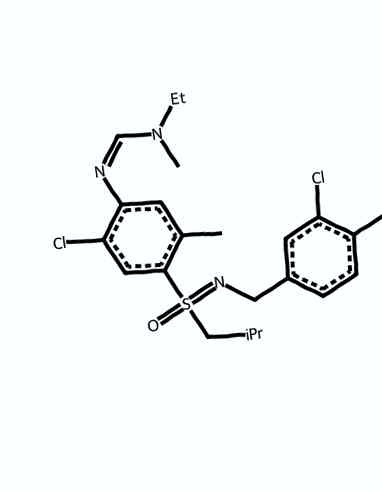 CCN(C)/C=N\c1cc(C)c(S(=O)(CC(C)C)=NCc2ccc(F)c(Cl)c2)cc1Cl